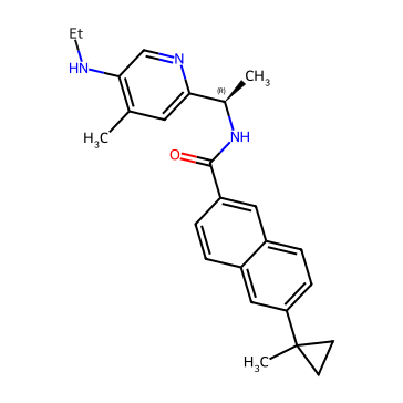 CCNc1cnc([C@@H](C)NC(=O)c2ccc3cc(C4(C)CC4)ccc3c2)cc1C